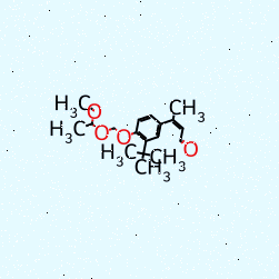 COC(C)OCOc1ccc(/C(C)=C\C=O)cc1C(C)(C)C